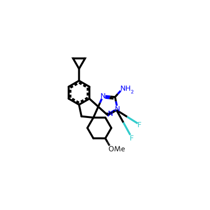 COC1CCC2(CC1)Cc1ccc(C3CC3)cc1C21N=C(N)N2CC(F)(F)CN=C21